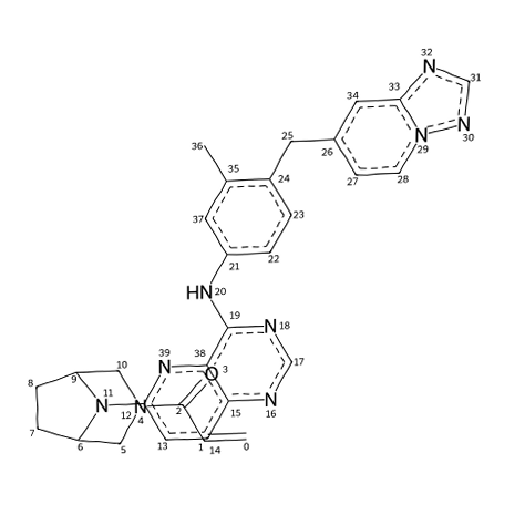 C=CC(=O)N1CC2CCC(C1)N2c1ccc2ncnc(Nc3ccc(Cc4ccn5ncnc5c4)c(C)c3)c2n1